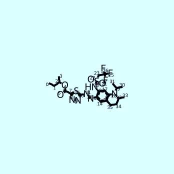 CCC(C)OC(=O)c1nnc(N=Nc2cc3c(cc2NS(=O)(=O)CC(F)(F)F)N(C(C)C)C(C)CC3)s1